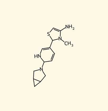 CN1C(N)=CSC1C1=CNC(N2CC3CC3C2)C=C1